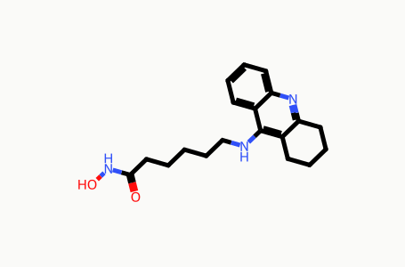 O=C(CCCCCNc1c2c(nc3ccccc13)CCCC2)NO